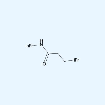 CC[CH]NC(=O)CCC(C)C